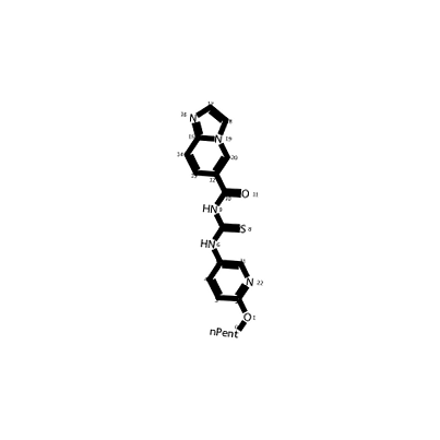 CCCCCOc1ccc(NC(=S)NC(=O)c2ccc3nccn3c2)cn1